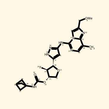 COCc1cn2c(Nc3cc([C@@H]4OC[C@H](OC(=O)NC56CC(C5)C6)[C@H]4F)[nH]n3)ncc(C)c2n1